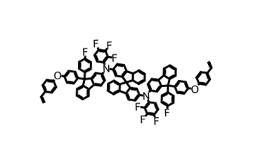 C=Cc1ccc(Oc2ccc(C3(c4ccc(F)cc4)c4ccccc4-c4ccc(N(c5ccc6c(c5)C5(c7ccccc7-6)c6cc(N(c7ccc8c(c7)C(c7ccc(F)cc7)(c7ccc(Oc9ccc(C=C)cc9)cc7)c7ccccc7-8)c7ccc(F)c(F)c7F)ccc6C6C=CC=CC65)c5ccc(F)c(F)c5F)cc43)cc2)cc1